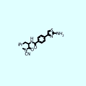 CC(C)CC(NC(=O)c1ccc(-c2csc(N)n2)cc1)C(=O)N(C)C#N